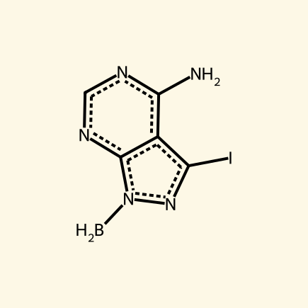 Bn1nc(I)c2c(N)ncnc21